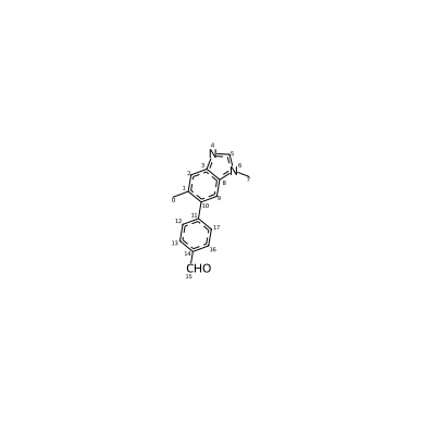 Cc1cc2ncn(C)c2cc1-c1ccc(C=O)cc1